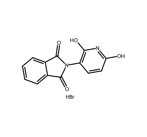 Br.O=C1c2ccccc2C(=O)N1c1ccc(O)nc1O